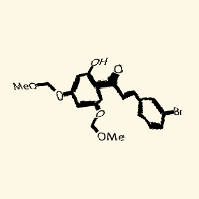 COCOc1cc(O)c(C(=O)/C=C/c2cccc(Br)c2)c(OCOC)c1